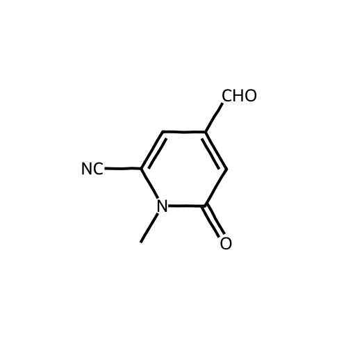 Cn1c(C#N)cc(C=O)cc1=O